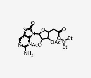 CCN(CC)OC(=O)CC1OC(n2c(=O)sc3cnc(N)nc32)[C@H](OC(C)=O)C1OC(C)=O